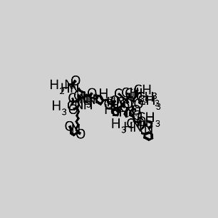 CC[C@H](C)[C@@H]([C@@H](CC(=O)N1CCC[C@H]1[C@H](OC)[C@@H](C)C(=O)N[C@H](Cc1ccccc1)c1ncccn1)OC)N(C)C(=O)[C@@H](NC(=O)C1[C@H]2CC[C@H](C2)N1C(=O)OCc1ccc(NC(=O)[C@H](CCCNC(N)=O)NC(=O)[C@@H](NC(=O)CCCCCN2C(=O)C=CC2=O)C(C)C)cc1)C(C)C